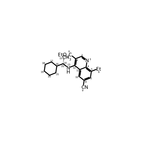 CCOC(=O)c1cnc2c(CC)cc(C#N)cc2c1N[C@@H](C)C1CCCCC1